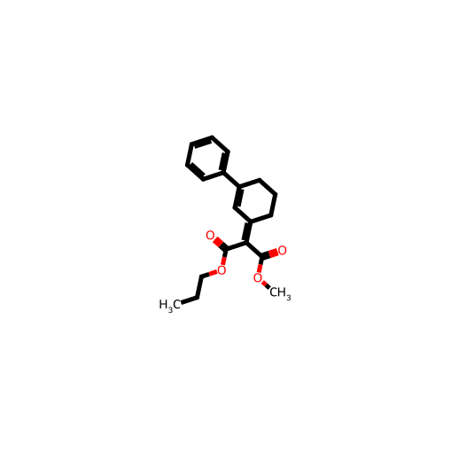 CCCOC(=O)/C(C(=O)OC)=C1\C=C(c2ccccc2)CCC1